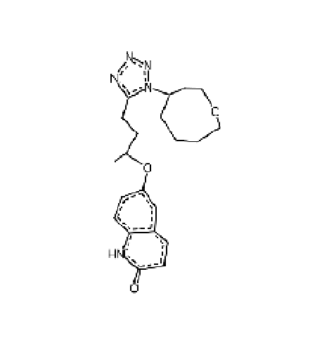 CC(CCc1nnnn1C1CCCCCCC1)Oc1ccc2[nH]c(=O)ccc2c1